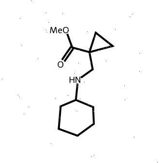 COC(=O)C1(CNC2CCCCC2)CC1